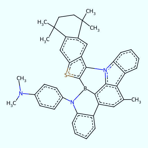 Cc1cc2c3c4c1c1ccccc1n4-c1c(sc4cc5c(cc14)C(C)(C)CCC5(C)C)B3N(c1ccc(N(C)C)cc1)c1ccccc1-2